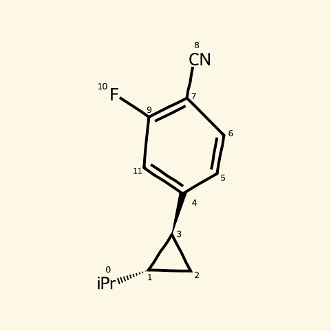 CC(C)[C@H]1C[C@@H]1c1ccc(C#N)c(F)c1